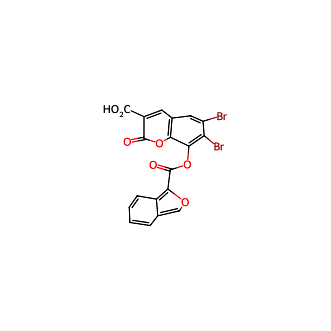 O=C(O)c1cc2cc(Br)c(Br)c(OC(=O)c3occ4ccccc34)c2oc1=O